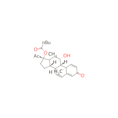 CCCCC(=O)O[C@@]1(C(C)=O)CC[C@H]2[C@@H]3C=CC4=CC(=O)C=C[C@]4(C)[C@H]3[C@@H](O)C[C@@]21C